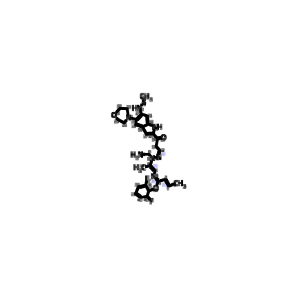 C/C=C/C(=N\C=C(/C)N(CN)/N=C\CC(=O)c1cc2cc(N3CCOCC3)c(NSC)cc2[nH]1)OC1C(F)=CC=CC1F